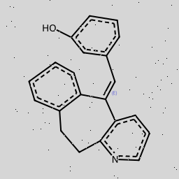 Oc1cccc(/C=C2\c3ccccc3CCc3ncccc32)c1